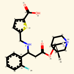 O=C(CC(NCc1ccc(C(=O)O)s1)c1ccccc1F)O[C@H]1CN2CCC1CC2